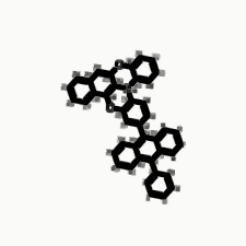 c1ccc(-c2c3ccccc3c(-c3ccc4c(c3)Oc3c5c(cc6ccccc36)Oc3ccccc3B45)c3ccccc23)cc1